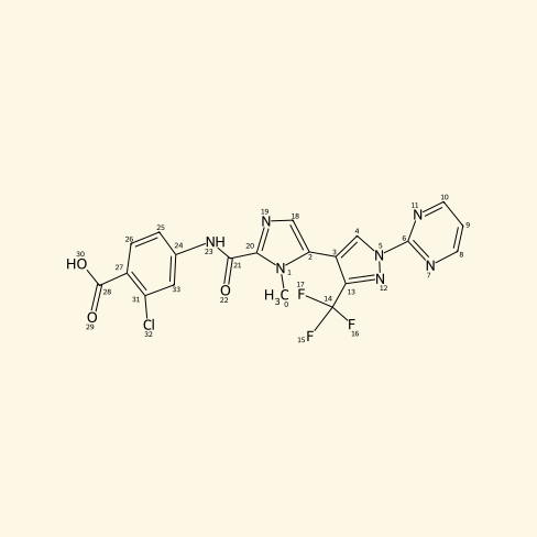 Cn1c(-c2cn(-c3ncccn3)nc2C(F)(F)F)cnc1C(=O)Nc1ccc(C(=O)O)c(Cl)c1